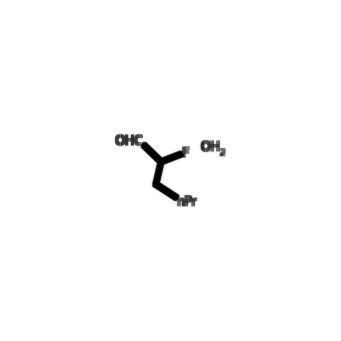 CCCCC(F)C=O.O